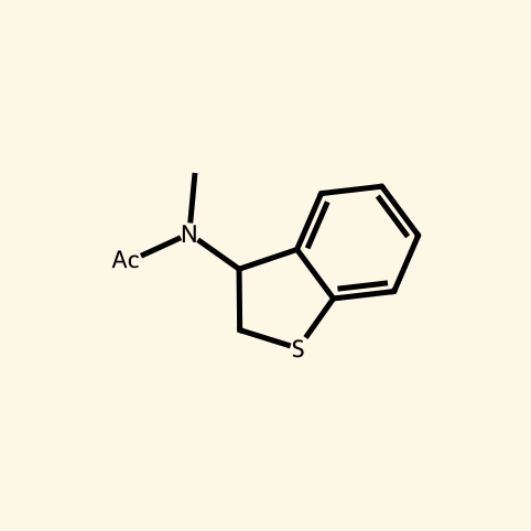 CC(=O)N(C)C1CSc2ccccc21